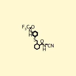 N#CCNC(=O)C1CCCCC1CSc1cccc(NC(=O)C(F)(F)F)c1